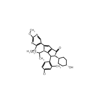 COc1ncc(-c2cc3c(n2C(C)C)C(c2ccc(Cl)cc2C)N([C@H]2CC[C@H](O)CC2)C3=O)c(OC)n1